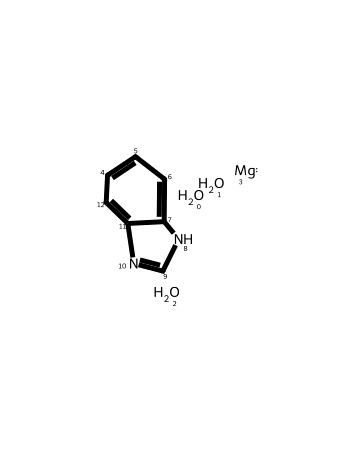 O.O.O.[Mg].c1ccc2[nH]cnc2c1